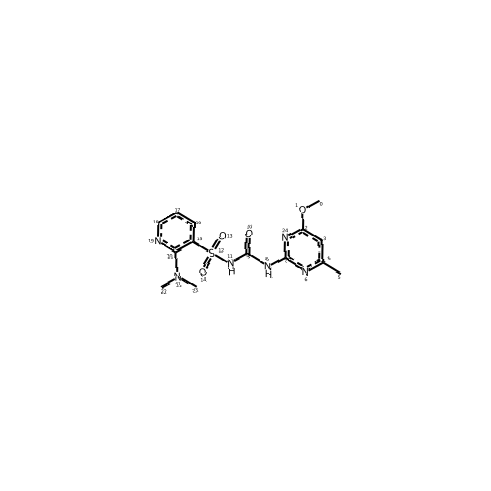 COc1cc(C)nc(NC(=O)NS(=O)(=O)c2cccnc2N(C)C)n1